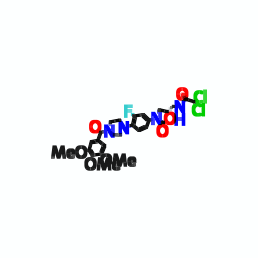 COc1cc(C(=O)N2CCN(c3ccc(N4C[C@H](CNC(=O)C(Cl)Cl)OC4=O)cc3F)CC2)cc(OC)c1OC